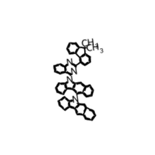 CC1(C)c2ccccc2-c2c(-c3nc(-n4c5ccccc5c5c(-n6c7ccccc7c7cc8ccccc8cc76)c6ccccc6cc54)c4ccccc4n3)cccc21